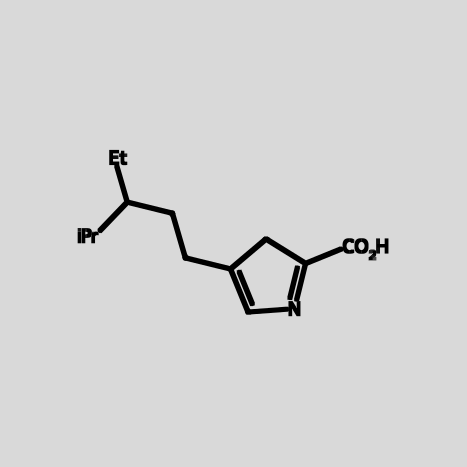 CCC(CCC1=CN=C(C(=O)O)C1)C(C)C